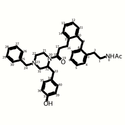 CC(=O)NCCc1ccccc1Cc1ccccc1CCC(=O)N1CCN(Cc2ccccc2)CC1Cc1ccc(O)cc1